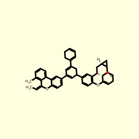 C/C=C1/Sc2ccc(C3=CC(c4ccc5c(c4)C4C[C@H]6CC6[C@@H]6C7CCC=C(O5)[C@@]476)CC(C4=CC=CCC4)=C3)cc2-c2cccc(C)c21